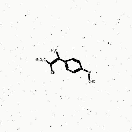 CCOC(=O)C(C#N)=C(C)c1ccc(NC=O)cc1